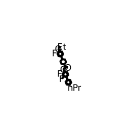 CCCc1ccc(-c2ccc(OC(=O)C3CCC(c4ccc(OCC)c(F)c4)CC3)c(F)c2F)cc1